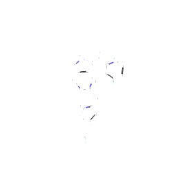 CC(c1cc(Cl)ccn1)n1ncc2ncc(Nc3cc(OC(F)F)[nH]n3)nc21